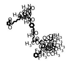 CC[C@H](C)[C@@H]([C@@H](CC(=O)N1C[C@@H](OC(=O)N(C)CCNC(=O)OCc2ccc(NC(=O)[C@H](CCCNC(N)=O)NC(=O)[C@@H](NC(=O)CCCCCN3C(=O)C=CC3=O)C(C)C)cc2)C[C@H]1[C@H](OC)[C@@H](C)C(=O)NCCc1c(F)cccc1F)OC)N(C)C(=O)[C@@H](NC(=O)[C@H](C(C)C)N(C)C)C(C)C